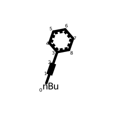 [CH2]CCCC#Cc1ccccc1